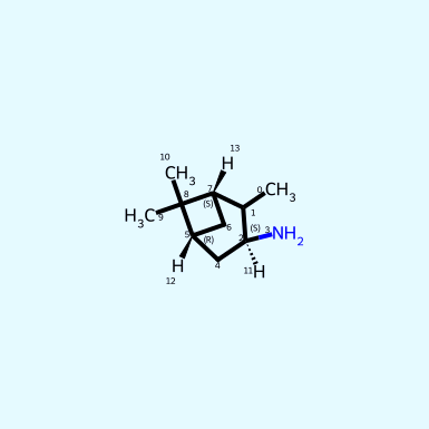 CC1[C@@H](N)C[C@H]2C[C@@H]1C2(C)C